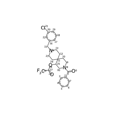 O=C(c1ccccc1)N1CCC2(CCN(Cc3cccc(Cl)c3)CC2)C(OC(=O)C(F)(F)F)C1